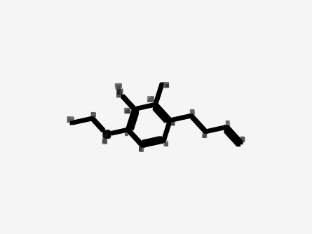 C=CCCc1ccc(OCC)c(F)c1C